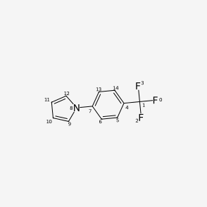 FC(F)(F)c1ccc(-n2cccc2)cc1